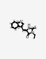 CCN1C(=O)/C(=C/c2csc3ccccc23)NC1=S